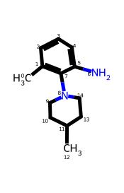 Cc1cccc(N)c1N1CCC(C)CC1